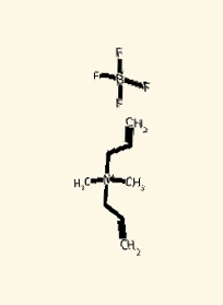 C=CC[N+](C)(C)CC=C.F[B-](F)(F)F